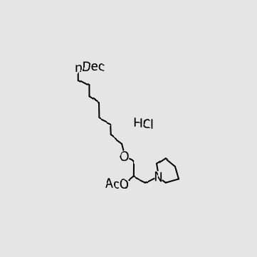 CCCCCCCCCCCCCCCCCCOCC(CN1CCCCC1)OC(C)=O.Cl